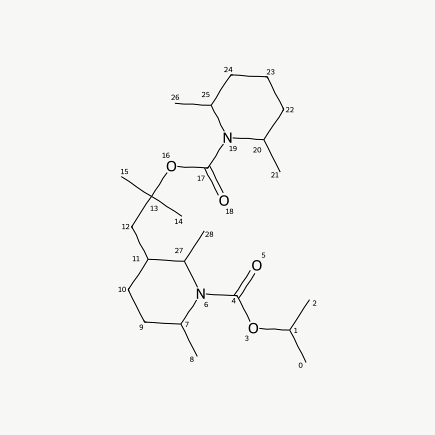 CC(C)OC(=O)N1C(C)CCC(CC(C)(C)OC(=O)N2C(C)CCCC2C)C1C